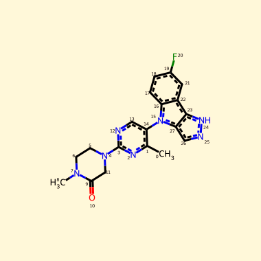 Cc1nc(N2CCN(C)C(=O)C2)ncc1-n1c2ccc(F)cc2c2[nH]ncc21